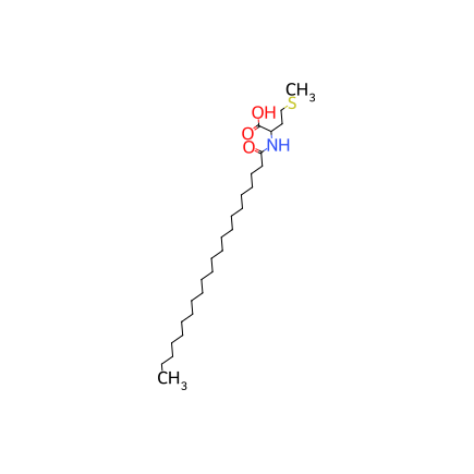 CCCCCCCCCCCCCCCCCCCCCC(=O)NC(CCSC)C(=O)O